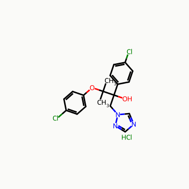 CC(C)(Oc1ccc(Cl)cc1)C(O)(Cn1cncn1)c1ccc(Cl)cc1.Cl